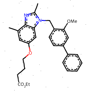 CCOC(=O)CCCOc1cc(C)c2nc(C)n(Cc3ccc(-c4ccccc4)cc3OC)c2c1